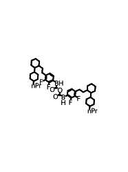 CCCC1CCC(C2CCCCC2CCc2ccc(BC(=O)OC(=O)Bc3ccc(CCC4CCCCC4C4CCC(CCC)CC4)c(F)c3F)c(F)c2F)CC1